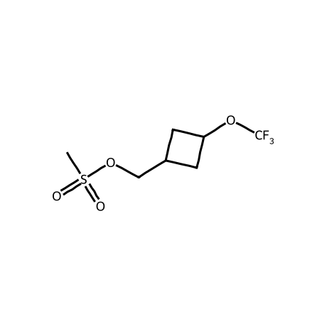 CS(=O)(=O)OCC1CC(OC(F)(F)F)C1